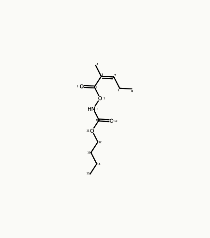 CCC=C(C)C(=O)ONC(=O)OCCCC